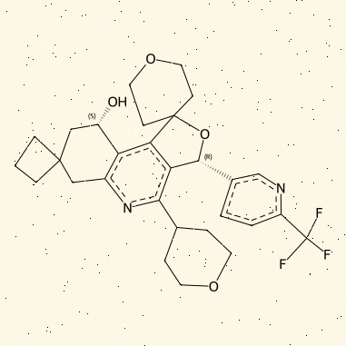 O[C@H]1CC2(CCC2)Cc2nc(C3CCOCC3)c3c(c21)C1(CCOCC1)O[C@@H]3c1ccc(C(F)(F)F)nc1